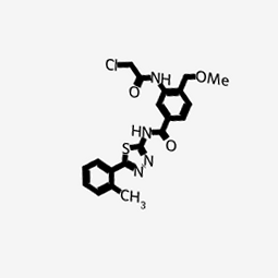 COCc1ccc(C(=O)Nc2nnc(-c3ccccc3C)s2)cc1NC(=O)CCl